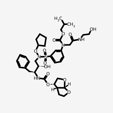 CC(C)COC(=O)N(CC(=O)NCCO)c1cccc(S(=O)(=O)N(C[C@H](O)[C@H](Cc2ccccc2)NC(=O)O[C@@H]2CO[C@@H]3OCC[C@@H]32)OC2CCCC2)c1